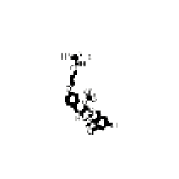 Cc1cc(Cl)cc(Cl)c1S(=O)(=O)N[C@@H](Cc1ccc(OCCCONC(=N)N)cc1)C(=O)OC(=O)C(F)(F)F